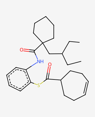 CCC(CC)CC1(C(=O)Nc2ccccc2SC(=O)C2CCC=CCC2)CCCCC1